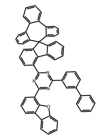 c1ccc(-c2cccc(-c3nc(-c4cccc5c4-c4ccccc4C54c5ccccc5-c5ccccc5-c5ccccc54)nc(-c4cccc5c4oc4ccccc45)n3)c2)cc1